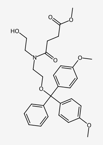 COC(=O)CCC(=O)N(CCO)CCOC(c1ccccc1)(c1ccc(OC)cc1)c1ccc(OC)cc1